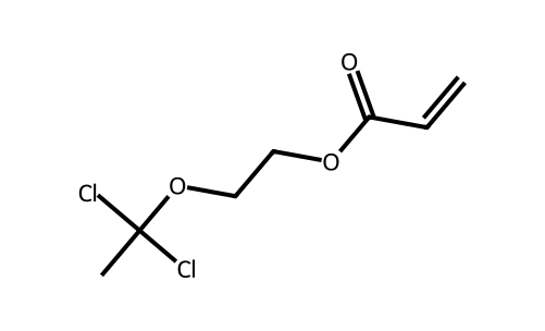 C=CC(=O)OCCOC(C)(Cl)Cl